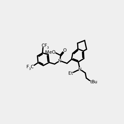 CCN(CCC(C)(C)C)c1cc2c(cc1CN(Cc1cc(C(F)(F)F)cc(C(F)(F)F)c1)C(=O)OC)CCC2